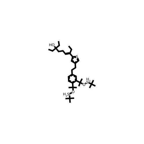 CCC(=CCCC(O)(CC)CC)c1cc(CCc2ccc(C(C)(C)O[SiH2]C(C)(C)C)c(C(C)(C)O[SiH2]C(C)(C)C)c2)cs1